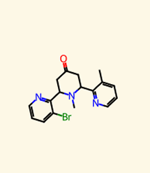 Cc1cccnc1C1CC(=O)CC(c2ncccc2Br)N1C